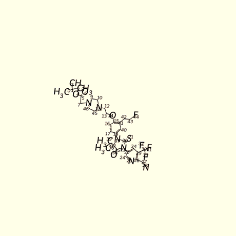 CC(C)(C)OC(=O)CN1CCN(CCOc2ccc(N3C(=S)N(c4cnc(C#N)c(C(F)(F)F)c4)C(=O)C3(C)C)cc2CCF)CC1